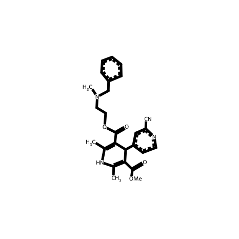 COC(=O)C1=C(C)NC(C)=C(C(=O)OCCN(C)Cc2ccccc2)C1c1ccnc(C#N)c1